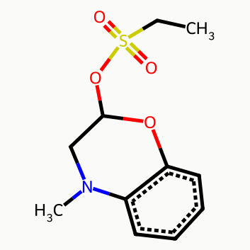 CCS(=O)(=O)OC1CN(C)c2ccccc2O1